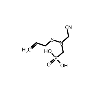 C=CCSN(CC#N)CP(=O)(O)O